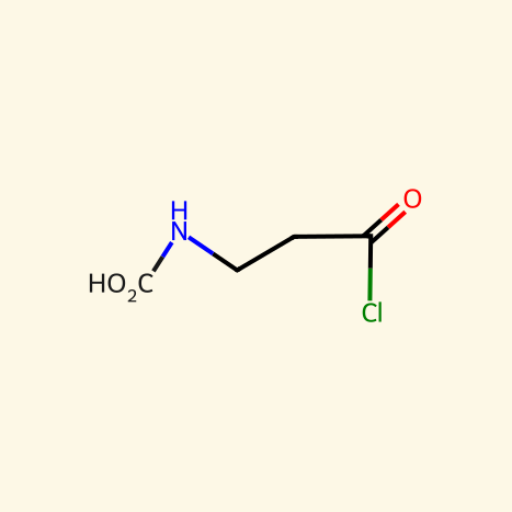 O=C(Cl)CCNC(=O)O